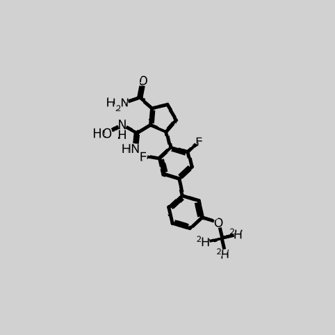 [2H]C([2H])([2H])Oc1cccc(-c2cc(F)c(C3CCC(C(N)=O)=C3C(=N)NO)c(F)c2)c1